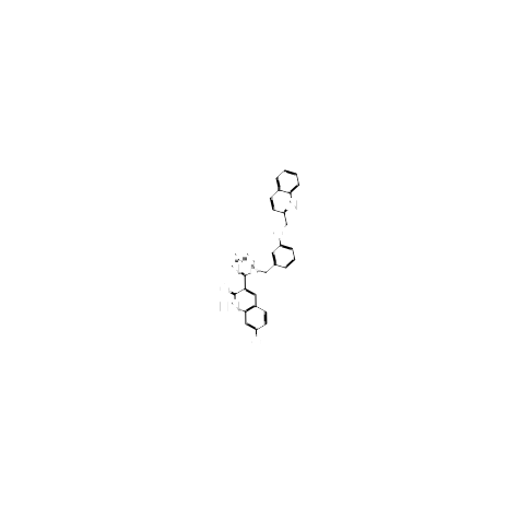 O=c1[nH]c2cc(O)ccc2cc1-c1nnnn1Cc1cccc(OCc2ccc3ccccc3n2)c1